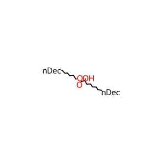 CCCCCCCCCCCCCCCCOC(=O)C(O)CCCCCCCCCCCCCCCC